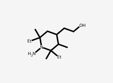 CCC1(C)CC(CCO)C(C)C(C)(CC)N1N